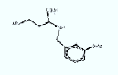 COc1cccc(CN[C@@H](CCC(C)(C)C)C(=O)O)c1